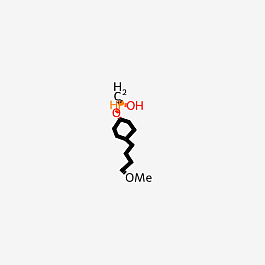 C=[PH](O)OC1CCC(CCCCOC)CC1